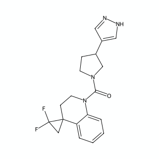 O=C(N1CCC(c2cn[nH]c2)C1)N1CCC2(CC2(F)F)c2ccccc21